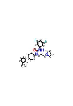 N#Cc1cccc([C@H]2CC[C@@H](N(CCCN3CCCC3)C(=O)Nc3cc(F)cc(F)c3)CC2)c1